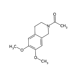 COc1cc2c(cc1OC)CN(C(C)=O)CC2